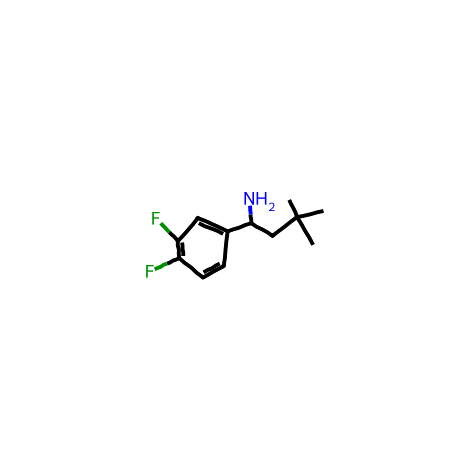 CC(C)(C)CC(N)c1ccc(F)c(F)c1